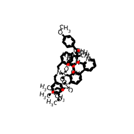 COc1ccc(CN(Cc2ccc(OC)cc2)S(=O)(=O)c2c(S(=O)(=O)CC[Si](C)(C)C)ccc(-c3cccnc3N(C(=O)O)C(C)(C)C)c2-c2nnn(Cc3ccc(OC)cc3)n2)cc1